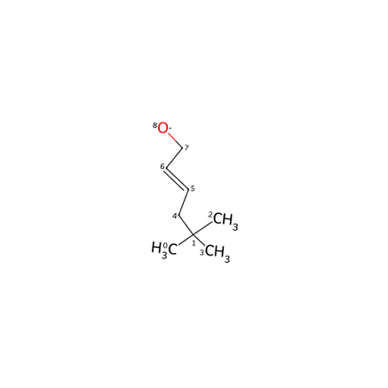 CC(C)(C)CC=CC[O]